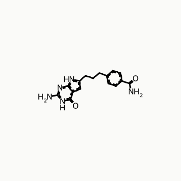 NC(=O)c1ccc(CCCc2cc3c(=O)[nH]c(N)nc3[nH]2)cc1